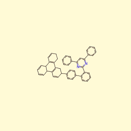 C1=CC2C3=C(CCC=C3)C3=C(C=CC(c4ccc(-c5ccccc5-c5nc(-c6ccccc6)cc(-c6ccccc6)n5)cc4)C3)C2C=C1